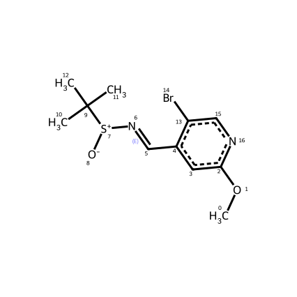 COc1cc(/C=N/[S+]([O-])C(C)(C)C)c(Br)cn1